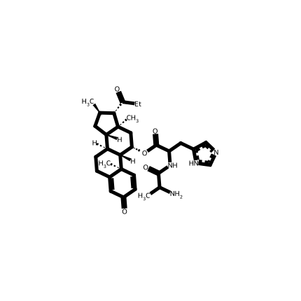 CCC(=O)[C@H]1[C@H](C)C[C@H]2[C@@H]3CCC4=CC(=O)C=C[C@]4(C)[C@H]3[C@@H](OC(=O)C(Cc3cnc[nH]3)NC(=O)C(C)N)C[C@@]21C